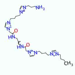 CCCCn1cc[n+](CCCCn2cc[n+](CC(=O)NCCCNC(=O)C[n+]3ccn(CCCC[n+]4ccn(CCCN)c4)c3)c2)c1